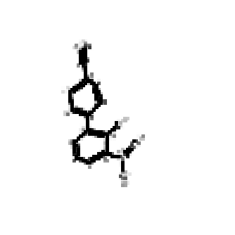 C#Cc1ccc(-c2cccc([N+](=O)[O-])c2Br)cc1